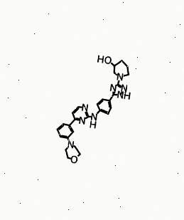 OC1CCCN(c2n[nH]c(-c3ccc(Nc4nccc(-c5cccc(N6CCOCC6)c5)n4)cc3)n2)C1